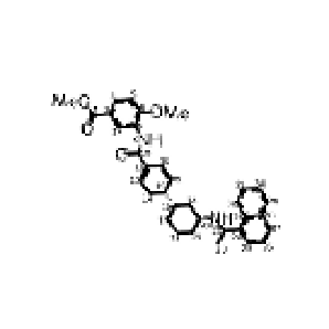 COC(=O)c1ccc(OC)c(NC(=O)C2=CCC([C@H]3CCC[C@H](NC(C)c4cccc5ccccc45)C3)C=C2)c1